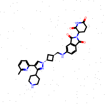 Cc1cccc(-c2cn([C@H]3C[C@H](CNc4ccc5c(c4)C(=O)N(C4CCC(=O)NC4=O)C5=O)C3)nc2C2CCNCC2)n1